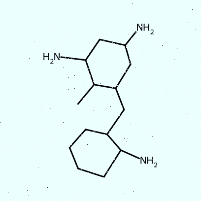 CC1C(N)CC(N)CC1CC1CCCCC1N